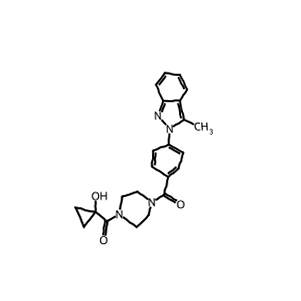 Cc1c2ccccc2nn1-c1ccc(C(=O)N2CCN(C(=O)C3(O)CC3)CC2)cc1